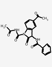 CC(=O)NC(=O)N1C(=O)C(NC(=O)c2ccccc2)c2cc(C(C)=O)ccc21